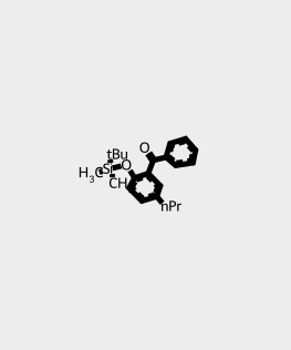 CCCc1ccc(O[Si](C)(C)C(C)(C)C)c(C(=O)c2ccccc2)c1